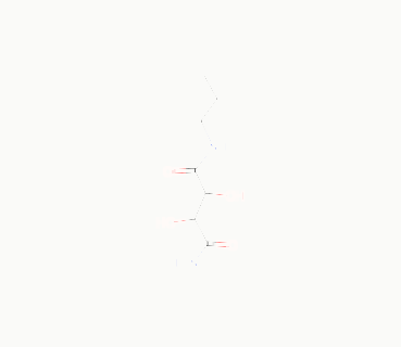 CCCNC(=O)C(O)C(O)C(N)=O